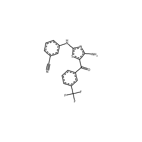 N#Cc1cccc(Nc2nc(N)c(C(=O)c3cccc(C(F)(F)F)c3)s2)c1